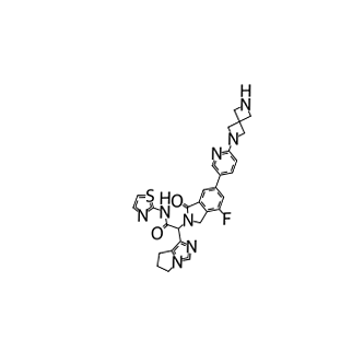 O=C(Nc1nccs1)C(c1ncn2c1CCC2)N1Cc2c(F)cc(-c3ccc(N4CC5(CNC5)C4)nc3)cc2C1=O